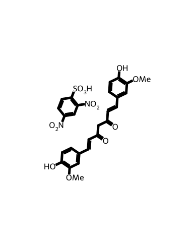 COc1cc(/C=C/C(=O)CC(=O)/C=C/c2ccc(O)c(OC)c2)ccc1O.O=[N+]([O-])c1ccc(S(=O)(=O)O)c([N+](=O)[O-])c1